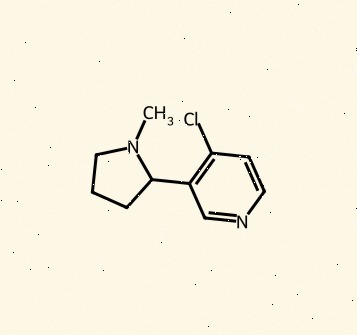 CN1CCCC1c1cnccc1Cl